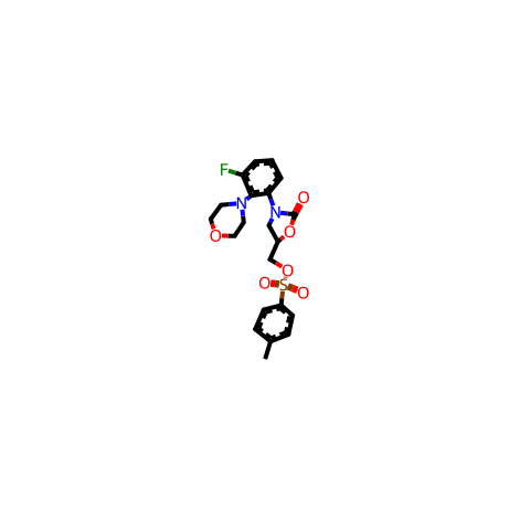 Cc1ccc(S(=O)(=O)OCC2CN(c3cccc(F)c3N3CCOCC3)C(=O)O2)cc1